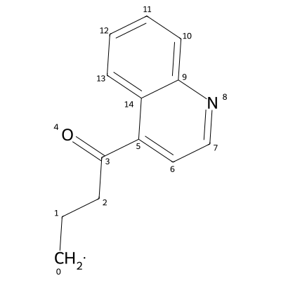 [CH2]CCC(=O)c1ccnc2ccccc12